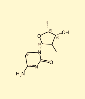 CC1[C@@H](O)[C@@H](C)O[C@H]1n1ccc(N)nc1=O